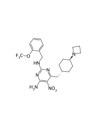 Nc1nc(NCc2ccccc2OC(F)(F)F)nc(C[C@H]2CC[C@H](N3CCC3)CC2)c1[N+](=O)[O-]